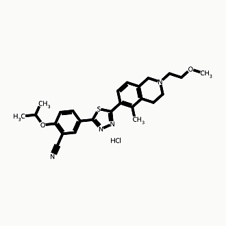 COCCN1CCc2c(ccc(-c3nnc(-c4ccc(OC(C)C)c(C#N)c4)s3)c2C)C1.Cl